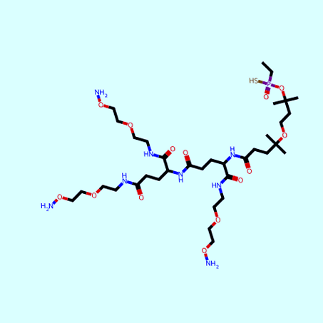 CCP(=O)(S)OC(C)(C)CCOC(C)(C)CCC(=O)NC(CCC(=O)NC(CCC(=O)NCCOCCON)C(=O)NCCOCCON)C(=O)NCCOCCON